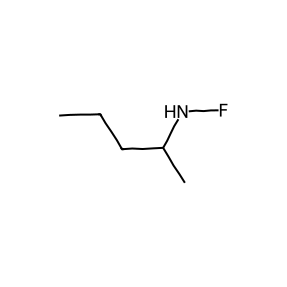 CCCC(C)NF